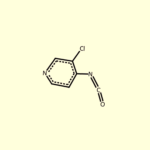 O=C=Nc1ccncc1Cl